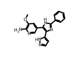 COc1cc(-c2[nH]c(-c3ccccc3)nc2-c2ccn[nH]2)cnc1N